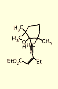 CCOC(=O)/C=C(\C#CC1(O)C(C)(C)CCCC1(C)C)CC